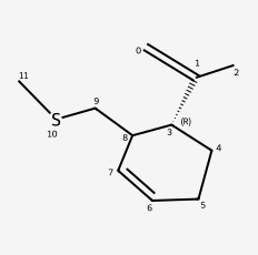 C=C(C)[C@@H]1CCC=CC1CSC